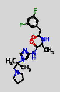 CC(NC(=O)Cc1cc(F)cc(F)c1)C(=O)Nc1cn(C(C)(C)CN2CCCC2)cn1